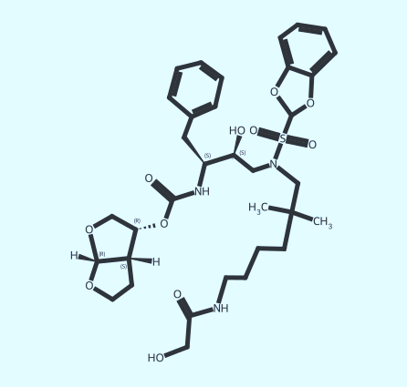 CC(C)(CCCCNC(=O)CO)CN(C[C@H](O)[C@H](Cc1ccccc1)NC(=O)O[C@H]1CO[C@H]2OCC[C@H]21)S(=O)(=O)C1Oc2ccccc2O1